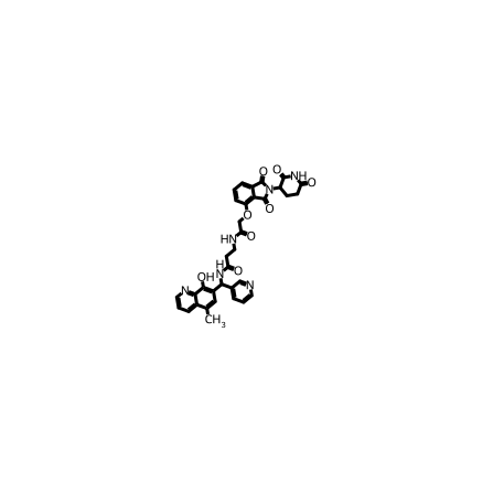 Cc1cc(C(NC(=O)CCNC(=O)COc2cccc3c2C(=O)N(C2CCC(=O)NC2=O)C3=O)c2cccnc2)c(O)c2ncccc12